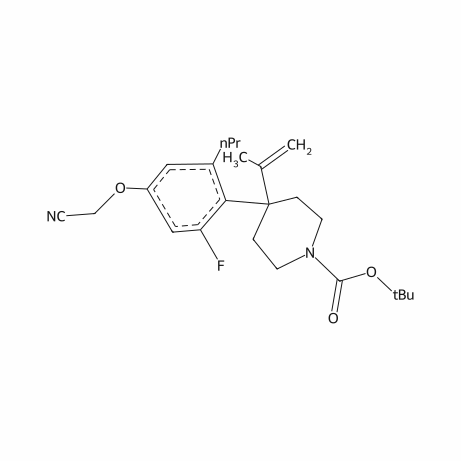 C=C(C)C1(c2c(F)cc(OCC#N)cc2CCC)CCN(C(=O)OC(C)(C)C)CC1